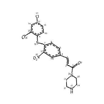 O=C(C=Cc1ccc(Sc2ccc(Cl)cc2Cl)c([N+](=O)[O-])c1)N1CCNCC1